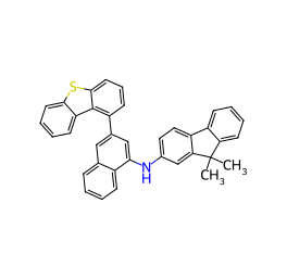 CC1(C)c2ccccc2-c2ccc(Nc3cc(-c4cccc5sc6ccccc6c45)cc4ccccc34)cc21